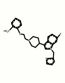 O=C(O)c1ccccc1OCCN1CCC(c2cn(Cc3ccco3)c3cc(F)ccc23)CC1